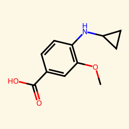 COc1cc(C(=O)O)ccc1NC1CC1